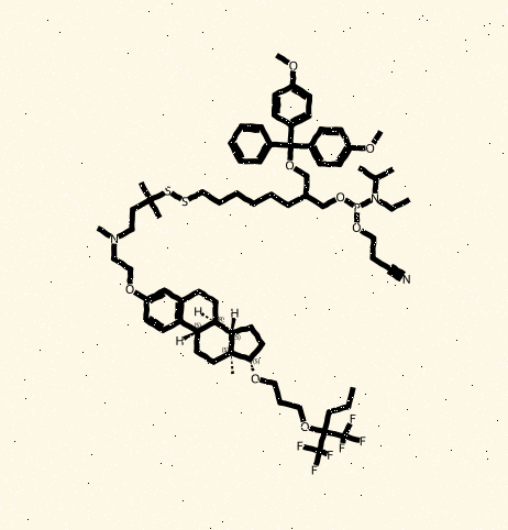 CCCC(OCCCO[C@H]1CC[C@H]2[C@@H]3CCc4cc(OCCN(C)CCC(C)(C)SSCCCCCCC(COP(OCCC#N)N(CC)C(C)C)COC(c5ccccc5)(c5ccc(OC)cc5)c5ccc(OC)cc5)ccc4[C@H]3CC[C@]12C)(C(F)(F)F)C(F)(F)F